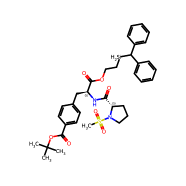 CC(C)(C)OC(=O)c1ccc(C[C@H](NC(=O)[C@@H]2CCCN2S(C)(=O)=O)C(=O)OCC[SiH2]C(c2ccccc2)c2ccccc2)cc1